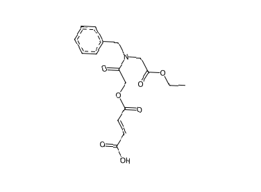 CCOC(=O)CN(Cc1ccccc1)C(=O)COC(=O)C=CC(=O)O